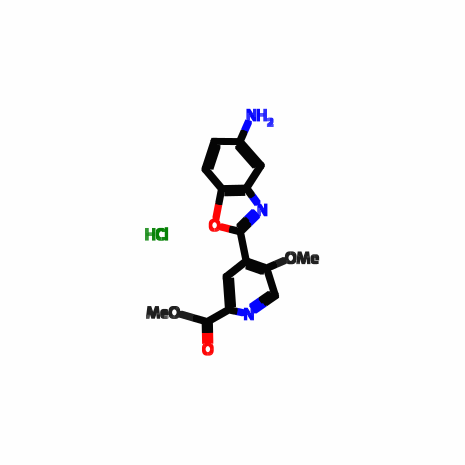 COC(=O)c1cc(-c2nc3cc(N)ccc3o2)c(OC)cn1.Cl